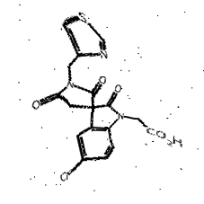 O=C(O)CN1C(=O)C2(CC(=O)N(Cc3cscn3)C2=O)c2cc(Cl)ccc21